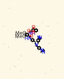 COc1cc(NC(=O)c2cc(=O)c3ccccc3o2)c(C(=O)Nc2ccc(CCN(Cc3ccc(-n4ccnc4C)cc3)Cc3ccc4c(cnn4C)c3)cc2)cc1OC